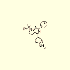 CC(C)C(C)(C)N1CCc2c(-c3cnc(N)nc3)nc(N3CCOCC3)nc21